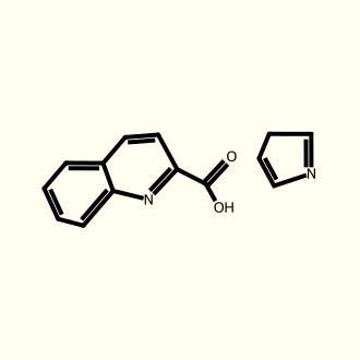 C1=CN=CC1.O=C(O)c1ccc2ccccc2n1